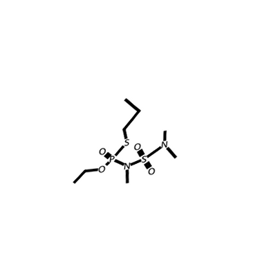 CCCSP(=O)(OCC)N(C)S(=O)(=O)N(C)C